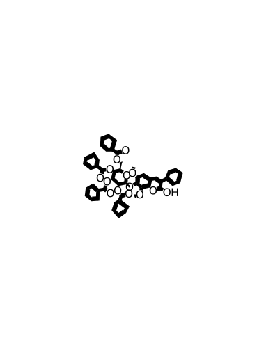 COc1cc(C=C(C(=O)O)c2ccccc2)cc(OC)c1O[C@@H]1O[C@H](COC(=O)c2ccccc2)[C@H](OC(=O)c2ccccc2)[C@H](OC(=O)c2ccccc2)[C@H]1OC(=O)c1ccccc1